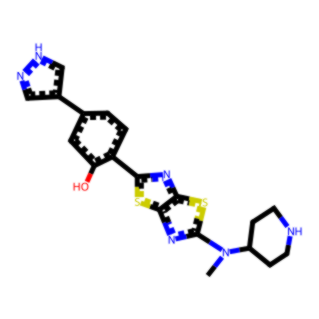 CN(c1nc2sc(-c3ccc(-c4cn[nH]c4)cc3O)nc2s1)C1CCNCC1